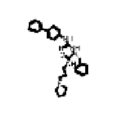 N=C(Nc1ccc(-c2ccccc2)cc1)N[C@H](Cc1ccccc1)C(=O)NCCCN1CCCC1